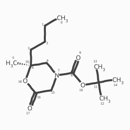 CCCC[C@@]1(C)CN(C(=O)OC(C)(C)C)CC(=O)O1